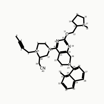 CC#CCN1CCN(c2nc(OCC3CCCN3C)nc3c2CCN(c2cccc4cccc(C)c24)C3)CC1CC#N